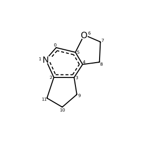 c1nc2c(c3c1OCC3)CCC2